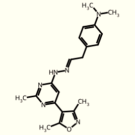 Cc1nc(NN=CCc2ccc(N(C)C)cc2)cc(-c2c(C)noc2C)n1